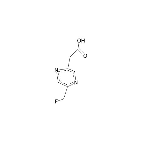 O=C(O)Cc1cnc(CF)cn1